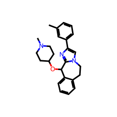 Cc1cccc(-c2cn3c(n2)C(OC2CCN(C)CC2)c2ccccc2CC3)c1